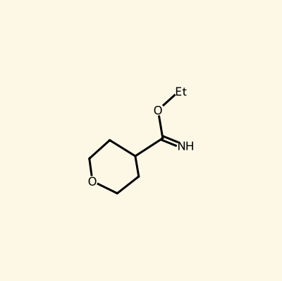 CCOC(=N)C1CCOCC1